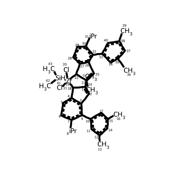 CC1=Cc2c(ccc(C(C)C)c2-c2cc(C)cc(C)c2)[CH]1[Zr]([Cl])([Cl])([CH]1C(C)=Cc2c1ccc(C(C)C)c2-c1cc(C)cc(C)c1)[SiH](C)C